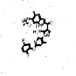 Cc1cc2cc(C(=O)c3cnn(-c4cnc(Oc5cc(F)ccc5F)cc4C)c3N)[nH]c2cc1NS(C)(=O)=O